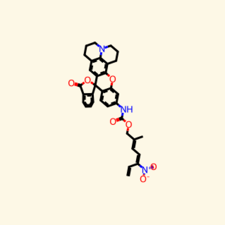 C=C/C(=C\C=C(/C)COC(=O)Nc1ccc2c(c1)Oc1c(cc3c4c1CCCN4CCC3)C21OC(=O)c2ccccc21)[N+](=O)[O-]